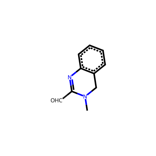 CN1Cc2ccccc2N=C1C=O